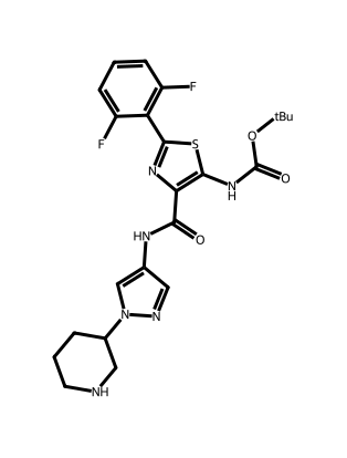 CC(C)(C)OC(=O)Nc1sc(-c2c(F)cccc2F)nc1C(=O)Nc1cnn(C2CCCNC2)c1